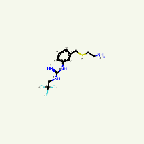 N=C(NCC(F)(F)F)Nc1cccc(CSCCN)c1